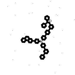 c1ccc(-c2cccc(-c3ccc(N(c4ccc(-c5ccc(-c6cccc(-c7oc8ccccc8c7-c7ccccc7)c6)cc5)cc4)c4ccc(-c5ccc6c(ccc7ccccc76)c5)cc4)cc3)c2)cc1